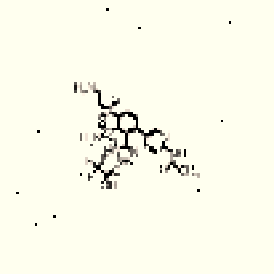 CC(=O)Nc1ccc(-c2ccc(S(=O)(=O)CCN)c(S(N)(=O)=O)c2-c2nnn[nH]2)cn1.O=C(O)C(F)(F)F